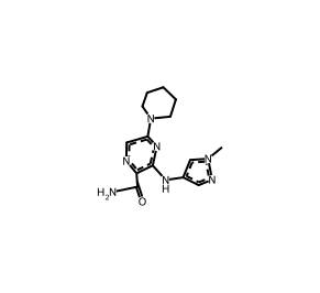 Cn1cc(Nc2nc(N3CCCCC3)cnc2C(N)=O)cn1